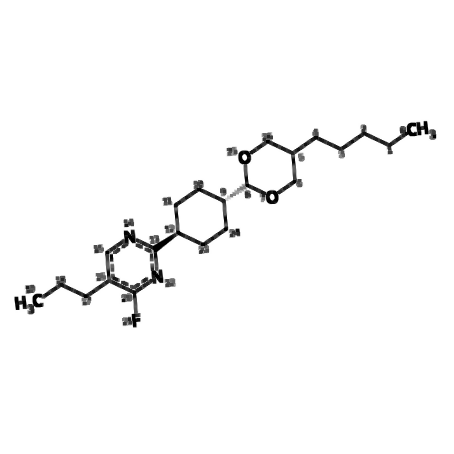 CCCCCC1COC([C@H]2CC[C@H](c3ncc(CCC)c(F)n3)CC2)OC1